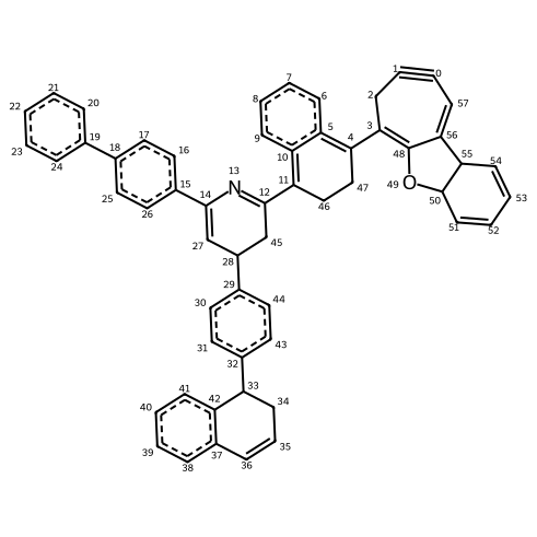 C1#CCC(C2=c3ccccc3=C(C3=NC(c4ccc(-c5ccccc5)cc4)=CC(c4ccc(C5CC=Cc6ccccc65)cc4)C3)CC2)=C2OC3C=CC=CC3C2=C1